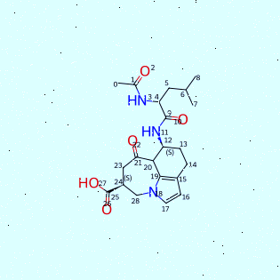 CC(=O)NC(CC(C)C)C(=O)N[C@H]1CCc2ccn3c2C1C(=O)C[C@H](C(=O)O)C3